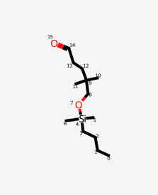 CCCC[Si](C)(C)OCC(C)(C)CCC=O